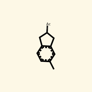 CC(=O)C1Cc2ccc(C)cc2C1